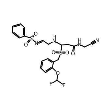 N#CCNC(=O)CC(NCC=NS(=O)(=O)c1ccccc1)S(=O)(=O)Cc1ccccc1OC(F)F